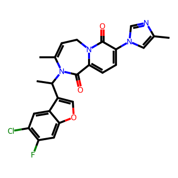 CC1=CCn2c(ccc(-n3cnc(C)c3)c2=O)C(=O)N1C(C)c1coc2cc(F)c(Cl)cc12